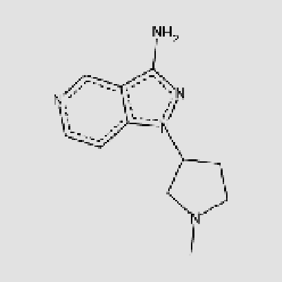 CN1CCC(n2nc(N)c3cnccc32)C1